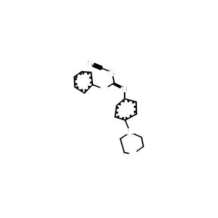 N#CN/C(=N/c1ccc(N2CCOCC2)cc1)Oc1ccccc1